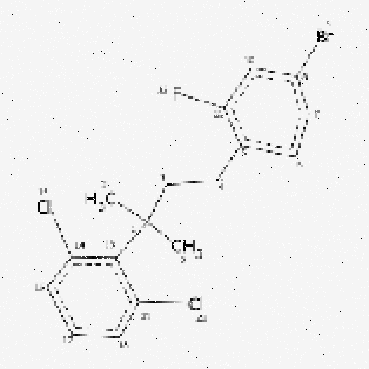 CC(C)(C[CH]c1ccc(Br)cc1F)c1c(Cl)cccc1Cl